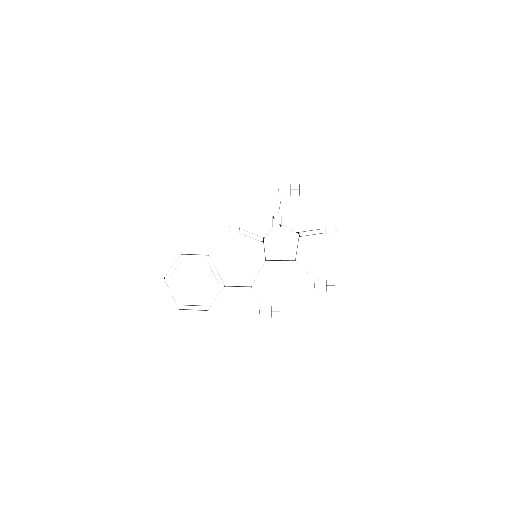 CC1C(=O)N(C)C(=O)C1C(C)c1ccccc1